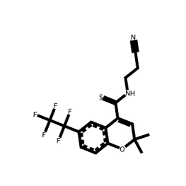 CC1(C)C=C(C(=S)NCCC#N)c2cc(C(F)(F)C(F)(F)F)ccc2O1